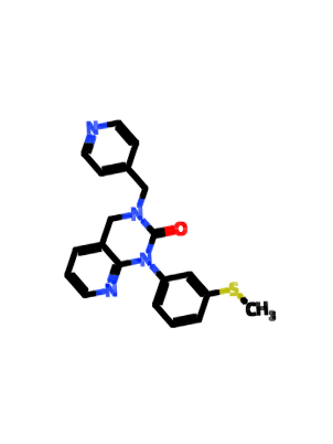 CSc1cccc(N2C(=O)N(Cc3ccncc3)Cc3cccnc32)c1